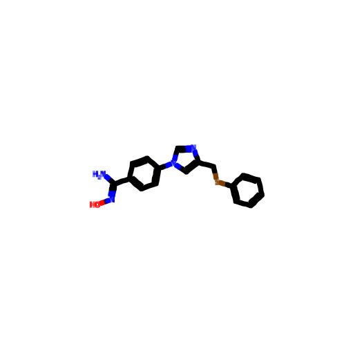 N/C(=N\O)c1ccc(-n2cnc(CSc3ccccc3)c2)cc1